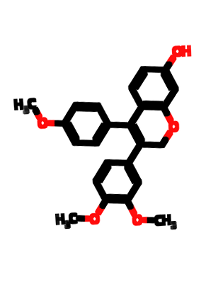 COc1ccc(C2=C(c3ccc(OC)c(OC)c3)COc3cc(O)ccc32)cc1